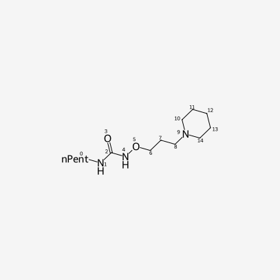 CCCCCNC(=O)NOCCCN1CCCCC1